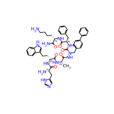 C[C@H](NC(=O)[C@@H](CCc1c[nH]c2ccccc12)NC(=O)[C@@H](N)Cc1cnc[nH]1)C(=O)NN(Cc1ccc(-c2ccccc2)cc1)C(=O)N[C@H](Cc1ccccc1)C(=O)N[C@@H](CCCCN)C(N)=O